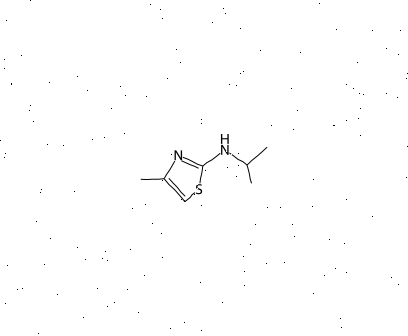 Cc1csc(NC(C)C)n1